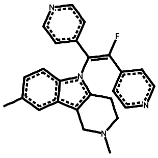 Cc1ccc2c(c1)c1c(n2/C(=C(/F)c2ccncc2)c2ccncc2)CCN(C)C1